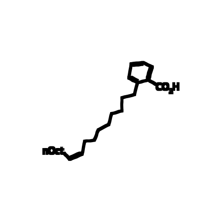 CCCCCCCC/C=C\CCCCCCCCc1ccccc1C(=O)O